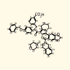 O=C(O)c1cccc(CN(C(=O)c2cc(-c3cc4c(cc3C(=O)N3Cc5ccccc5C[C@@H]3CN3CCOCC3)OCO4)n3c2CCCC3)c2ccc(OCc3ccccc3)cc2)c1